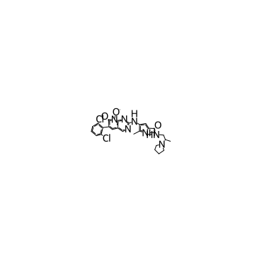 COn1c(=O)c(-c2c(Cl)cccc2Cl)cc2cnc(Nc3cc(C(=O)NCC(C)N4CCCC4)[nH]c3C)nc21